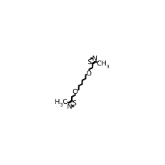 Cc1ncsc1CCOCCCCCCOCCc1scnc1C